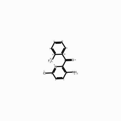 Nc1ccc(Cl)nc1C(=O)c1ccccc1C(F)(F)F